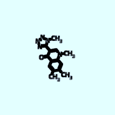 Cc1cc2c(=O)c(-c3nnnn3C)cn(C)c2cc1C